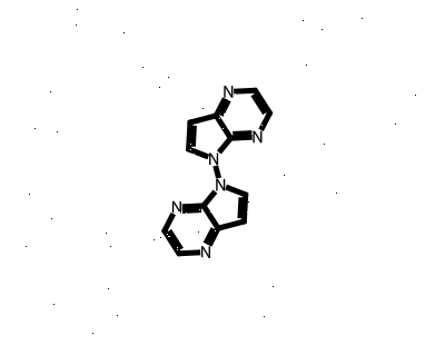 c1cnc2c(ccn2-n2ccc3nccnc32)n1